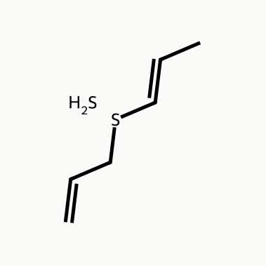 C=CCSC=CC.S